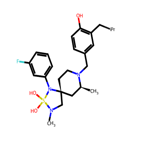 CC(C)Cc1cc(CN2CC[C@@]3(C[C@@H]2C)CN(C)S(O)(O)N3c2cccc(F)c2)ccc1O